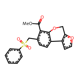 COC(=O)c1c(CS(=O)(=O)c2ccccc2)ccc2c1OCc1occc1-2